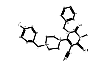 Cn1c(=N)c(C#N)c(N2CCN(Cc3ccc(F)cc3)CC2)n(Cc2ccccc2)c1=S